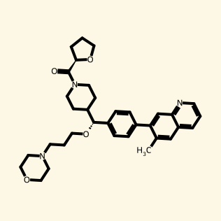 Cc1cc2cccnc2cc1-c1ccc([C@H](OCCCN2CCOCC2)C2CCN(C(=O)[C@H]3CCCO3)CC2)cc1